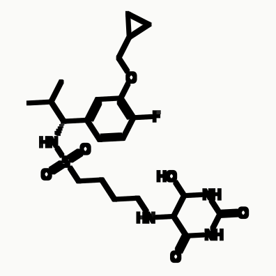 CC(C)[C@@H](NS(=O)(=O)CCCCNC1C(=O)NC(=O)NC1O)c1ccc(F)c(OCC2CC2)c1